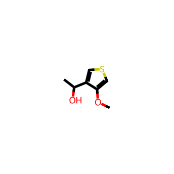 COc1cscc1C(C)O